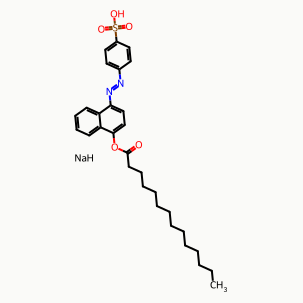 CCCCCCCCCCCCCC(=O)Oc1ccc(N=Nc2ccc(S(=O)(=O)O)cc2)c2ccccc12.[NaH]